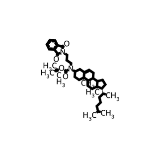 CC(C)CCCC(C)[C@H]1CCC2C3CC=C4CC(N(CCCN5C(=O)c6ccccc6C5=O)C(=O)OC(C)(C)C)CC[C@]4(C)C3CC[C@@]21C